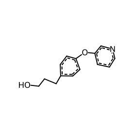 OCCCc1ccc(Oc2cccnc2)cc1